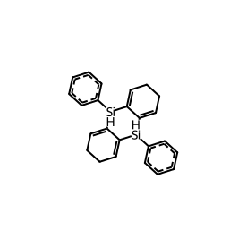 C1=C2C(=CCC1)[SiH](c1ccccc1)C1=CCCC=C1[SiH]2c1ccccc1